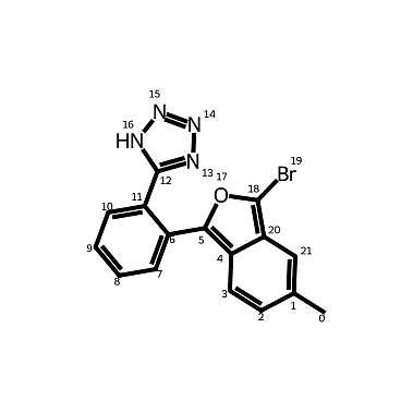 Cc1ccc2c(-c3ccccc3-c3nnn[nH]3)oc(Br)c2c1